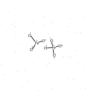 [Cl][Fe]([Cl])([Cl])[Cl].[Cl][Fe]([Cl])[Cl]